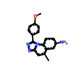 COc1ccc(-c2nnc3cc(C)c4cc(N)ccc4n23)cc1